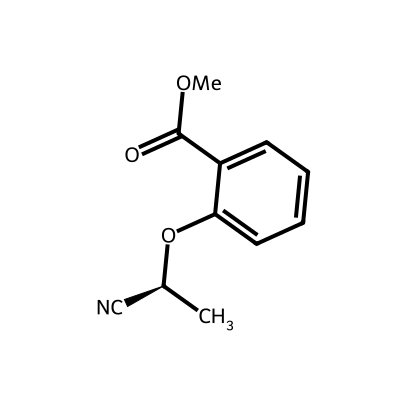 COC(=O)c1ccccc1O[C@@H](C)C#N